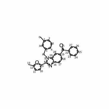 Cc1cccc(Cn2c(-c3ccc(C)o3)nc3ccc(C(=O)c4ccccc4)cc32)c1